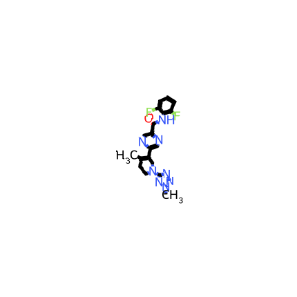 CC1=C(c2cnc(C(=O)Nc3c(F)cccc3F)cn2)CN(c2nnn(C)n2)CC1